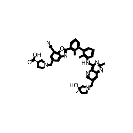 Cc1nc(Nc2cccc(-c3cccc(-c4nc5cc(CN6CC[C@@H](C(=O)O)C6)cc(C#N)c5o4)c3C)c2C)c2ncc(CN3CC[C@@](C)(O)C3)cc2n1